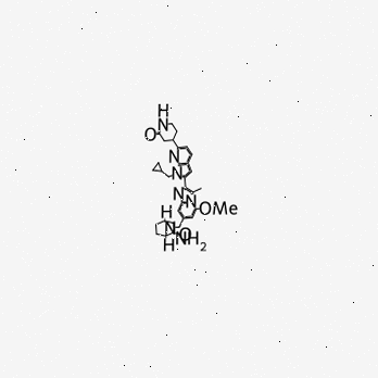 COc1cc(C(=O)N2[C@H]3CC[C@@H]2[C@H](N)C3)cc2nc(-c3cc4ccc(C5CCNC(=O)C5)nc4n3CC3CC3)c(C)n12